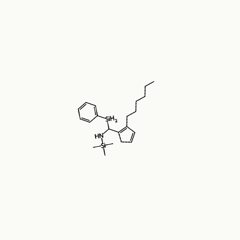 CCCCCCC1=C(C(N[Si](C)(C)C)[SiH2]c2ccccc2)CC=C1